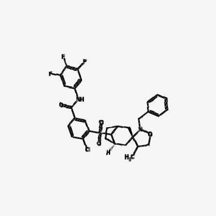 CC1CON(Cc2ccccc2)[C@]12CC1CC[C@H](C2)C1S(=O)(=O)c1cc(C(=O)Nc2cc(F)c(F)c(F)c2)ccc1Cl